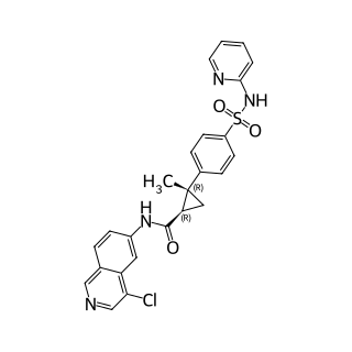 C[C@@]1(c2ccc(S(=O)(=O)Nc3ccccn3)cc2)C[C@H]1C(=O)Nc1ccc2cncc(Cl)c2c1